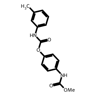 COC(=O)Nc1ccc(OC(=O)Nc2cccc(C)c2)cc1